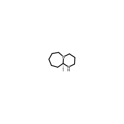 I[C@]12CCCCCN1CCCN2